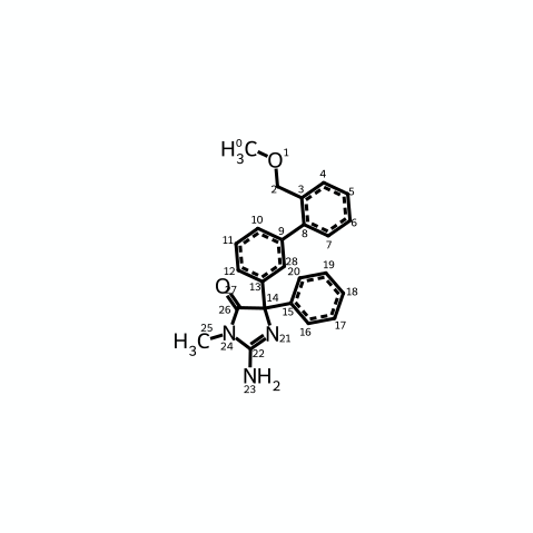 COCc1ccccc1-c1cccc(C2(c3ccccc3)N=C(N)N(C)C2=O)c1